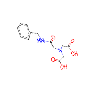 O=C(O)CN(CC(=O)O)CC(=O)NCc1ccccc1